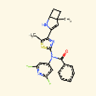 Cc1sc(N(C(=O)c2ccccc2)c2cc(F)nc(F)c2)nc1C1=CC2(C)CCC2N1